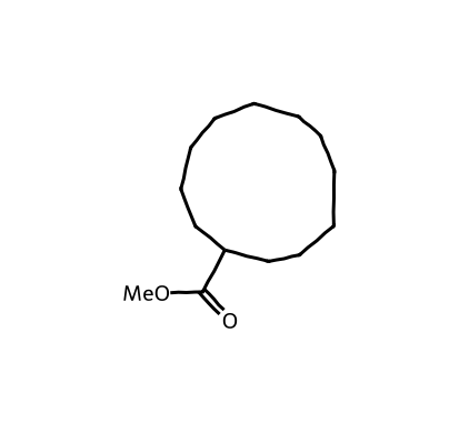 COC(=O)C1CCCCCCCCCCC1